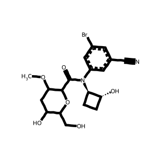 COC1CC(O)C(CO)OC1C(=O)N(c1cc(Br)cc(C#N)c1)[C@@H]1CC[C@H]1O